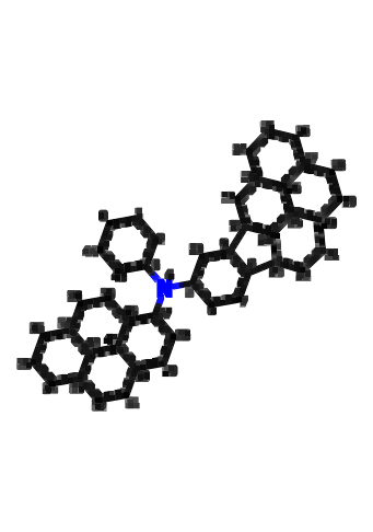 c1ccc(N(c2ccc3c(c2)-c2cc4cccc5ccc6ccc-3c2c6c54)c2ccc3ccc4cccc5ccc2c3c45)cc1